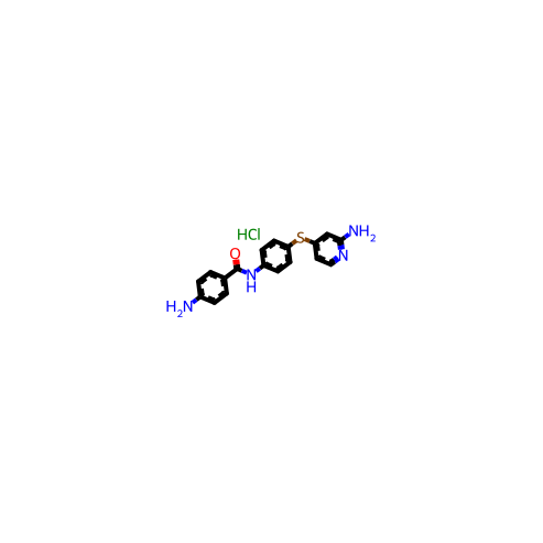 Cl.Nc1ccc(C(=O)Nc2ccc(Sc3ccnc(N)c3)cc2)cc1